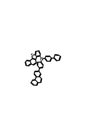 c1ccc(-c2ccc(N(c3ccc(-c4ccc5c(ccc6ccccc65)c4)cc3)c3cccc4sc5c6ccccc6ccc5c34)cc2)cc1